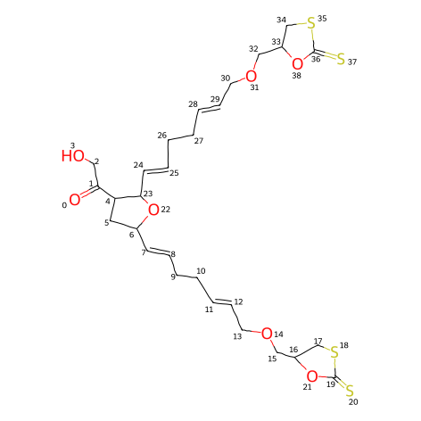 O=C(CO)C1CC(/C=C/CC/C=C/COCC2CSC(=S)O2)OC1/C=C/CC/C=C/COCC1CSC(=S)O1